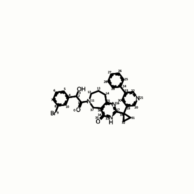 O=C(C(O)c1cccc(Br)c1)N1CCCc2nc(C3(c4cncc(-c5ccccc5)c4)CC3)[nH]c(=O)c2C1